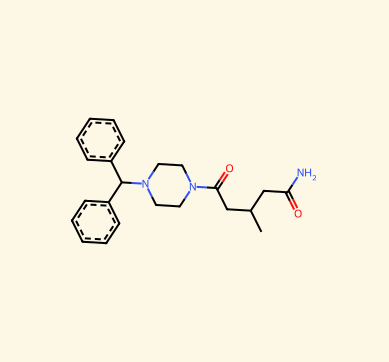 CC(CC(N)=O)CC(=O)N1CCN(C(c2ccccc2)c2ccccc2)CC1